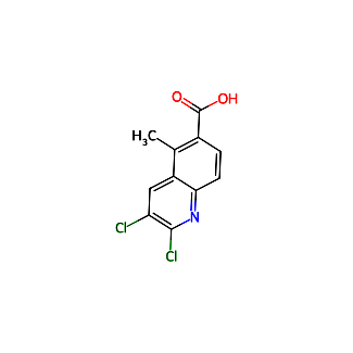 Cc1c(C(=O)O)ccc2nc(Cl)c(Cl)cc12